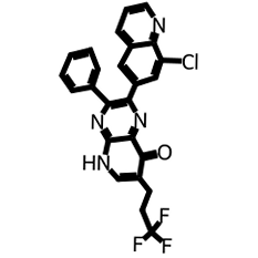 O=c1c(CCC(F)(F)F)c[nH]c2nc(-c3ccccc3)c(-c3cc(Cl)c4ncccc4c3)nc12